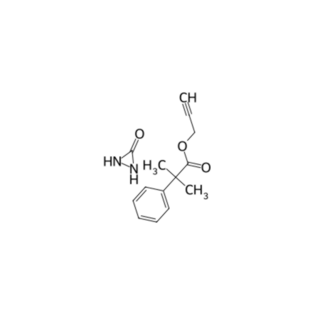 C#CCOC(=O)C(C)(C)c1ccccc1.O=C1NN1